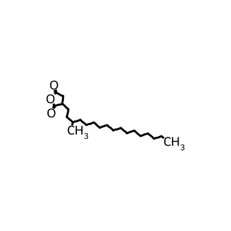 CCCCCCCCCCCCCCC(C)CCC1CC(=O)OC1=O